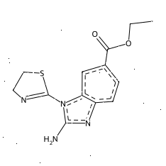 CCOC(=O)c1ccc2nc(N)n(C3=NCCS3)c2c1